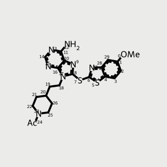 COc1ccc2sc(Sc3nc4c(N)ncnc4n3CCC3CCN(C(C)=O)CC3)nc2c1